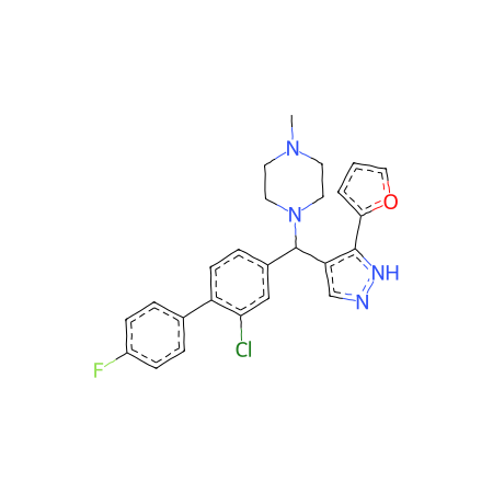 CN1CCN(C(c2ccc(-c3ccc(F)cc3)c(Cl)c2)c2cn[nH]c2-c2ccco2)CC1